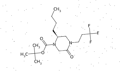 CCCC[C@H]1CN(CCC(F)(F)F)C(=O)CN1C(=O)OC(C)(C)C